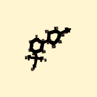 FC(F)(F)c1cc[c]c(-c2ccc(Br)cc2)c1